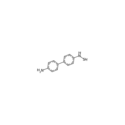 Nc1ccc(-c2ccc(NS)cc2)cc1